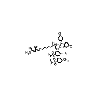 Cc1ccc(S(=O)(=O)C(I)I)cc1.Cc1ccc(S(=O)(=O)C(I)I)cc1.N=C(N)NC(=N)NCCCCCCNC(=N)NC(=N)N(c1ccc(Cl)cc1)c1ccc(Cl)cc1